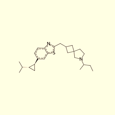 CCC(C)N1CCC2(CC(Cc3nc4ccc([C@H]5C[C@@H]5C(C)C)cc4s3)C2)C1